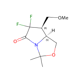 COC[C@H]1[C@H]2COC(C)(C)N2C(=O)C1(F)F